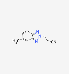 Cc1ccc2nn(CCC#N)nc2c1